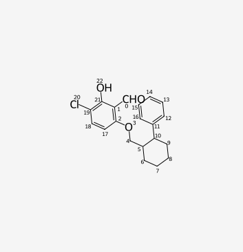 O=Cc1c(OCC2CCCCC2c2ccccc2)ccc(Cl)c1O